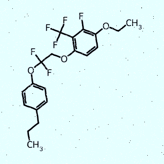 CCCc1ccc(OC(F)(F)COc2ccc(OCC)c(F)c2C(F)(F)F)cc1